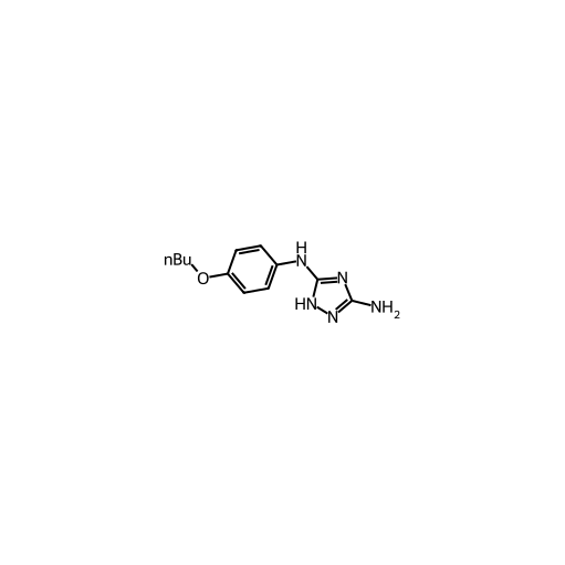 CCCCOc1ccc(Nc2nc(N)n[nH]2)cc1